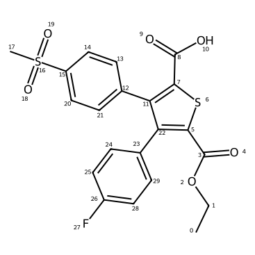 CCOC(=O)c1sc(C(=O)O)c(-c2ccc(S(C)(=O)=O)cc2)c1-c1ccc(F)cc1